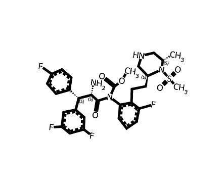 COC(=O)N(C(=O)[C@@H](N)[C@@H](c1ccc(F)cc1)c1cc(F)cc(F)c1)c1cccc(F)c1CC[C@H]1CNC[C@H](C)N1S(C)(=O)=O